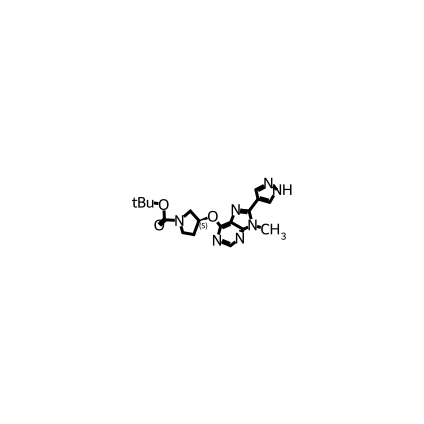 Cn1c(-c2cn[nH]c2)nc2c(O[C@H]3CCN(C(=O)OC(C)(C)C)C3)ncnc21